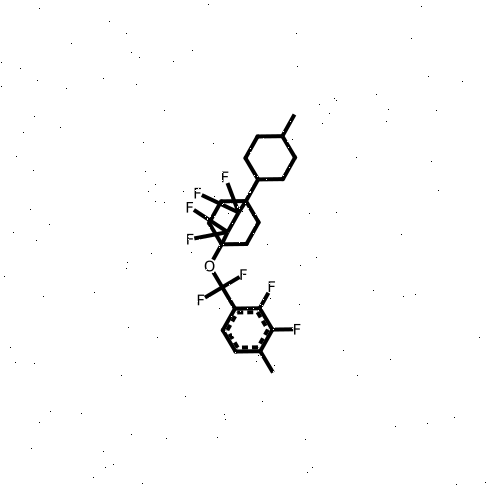 Cc1ccc(C(F)(F)OC23CCC(C4CCC(C)CC4)(CC2)C(F)(F)C3(F)F)c(F)c1F